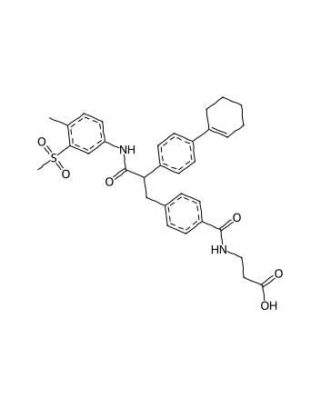 Cc1ccc(NC(=O)C(Cc2ccc(C(=O)NCCC(=O)O)cc2)c2ccc(C3=CCCCC3)cc2)cc1S(C)(=O)=O